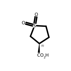 O=C(O)[C@@H]1CCS(=O)(=O)C1